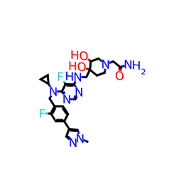 Cn1cc(-c2ccc(CN(c3ncnc(NCC4(O)CCN(CC(N)=O)CC4O)c3F)C3CC3)c(F)c2)cn1